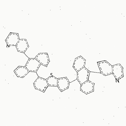 c1cnc2cc(-c3c4ccccc4c(-c4ccc5c(c4)sc4c(-c6c7ccccc7c(-c7ccc8cccnc8c7)c7ccccc67)cccc45)c4ccccc34)ccc2c1